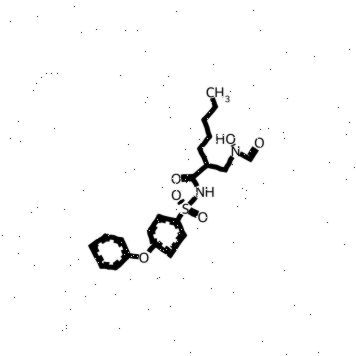 CCCCCC(CN(O)C=O)C(=O)NS(=O)(=O)c1ccc(Oc2ccccc2)cc1